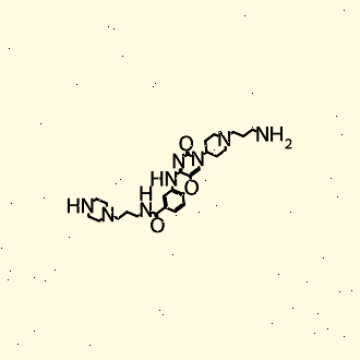 NCCCN1CCC(n2cc3c(nc2=O)Nc2cc(C(=O)NCCCN4CCNCC4)ccc2O3)CC1